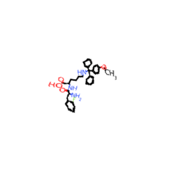 COc1ccc(C(NCCCCC(NC(=O)C(N)Cc2ccccc2F)C(=O)O)(c2ccccc2)c2ccccc2)cc1